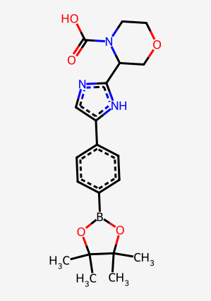 CC1(C)OB(c2ccc(-c3cnc(C4COCCN4C(=O)O)[nH]3)cc2)OC1(C)C